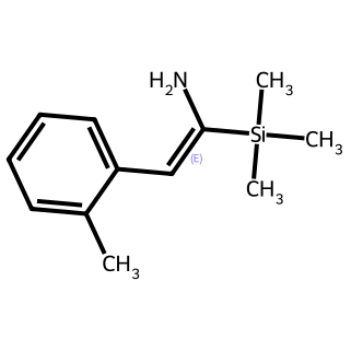 Cc1ccccc1/C=C(\N)[Si](C)(C)C